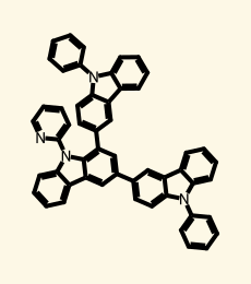 c1ccc(-n2c3ccccc3c3cc(-c4cc(-c5ccc6c(c5)c5ccccc5n6-c5ccccc5)c5c(c4)c4ccccc4n5-c4ccccn4)ccc32)cc1